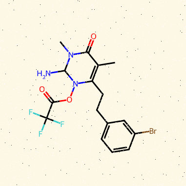 CC1=C(CCc2cccc(Br)c2)N(OC(=O)C(F)(F)F)C(N)N(C)C1=O